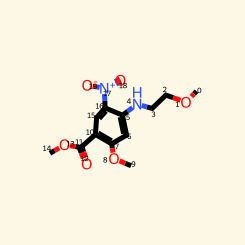 COCCNc1cc(OC)c(C(=O)OC)cc1[N+](=O)[O-]